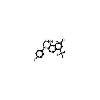 O=c1cc(C(F)(F)F)c2ccc3c(c2o1)NCCN3c1ccc(F)cc1